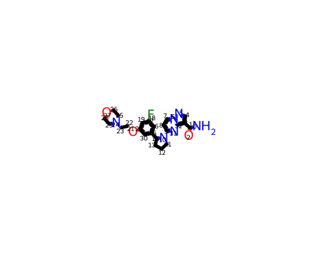 NC(=O)c1cnn2ccc(N3CCCC3c3cc(F)cc(OCCN4CCOCC4)c3)nc12